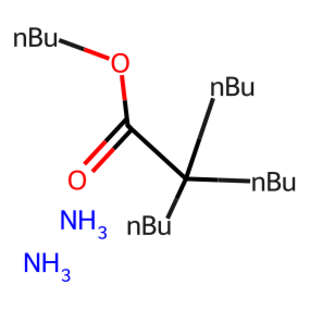 CCCCOC(=O)C(CCCC)(CCCC)CCCC.N.N